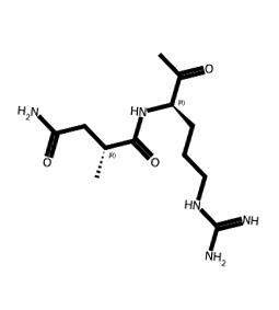 CC(=O)[C@@H](CCCNC(=N)N)NC(=O)[C@H](C)CC(N)=O